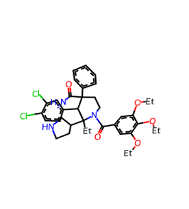 CCOc1cc(C(=O)N2CCC(C(N)=O)(c3ccccc3)C(c3ccc(Cl)c(Cl)c3)C2(CC)C2CCNC2)cc(OCC)c1OCC